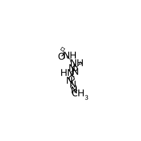 CN1CCN(c2ccc(Nc3ncc(C4CC4)c(NCCCNC(=O)C4CCC4)n3)cn2)CC1